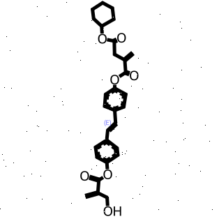 C=C(CO)C(=O)Oc1ccc(/C=C/c2ccc(OC(=O)C(=C)CC(=O)OC3CCCCC3)cc2)cc1